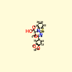 CCC(C(=O)O)n1/c(=N\C(=O)c2ccc3c(c2)OCO3)sc2ccccc21